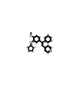 COc1ccc(/C(=C/c2ccncc2)c2ccccc2)cc1OC1CCCC1